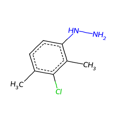 Cc1ccc(NN)c(C)c1Cl